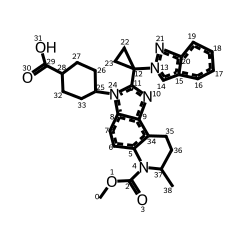 COC(=O)N1c2ccc3c(nc(C4(n5cc6ccccc6n5)CC4)n3C3CCC(C(=O)O)CC3)c2CCC1C